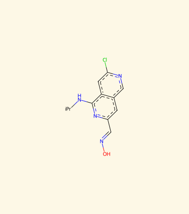 CC(C)Nc1nc(C=NO)cc2cnc(Cl)cc12